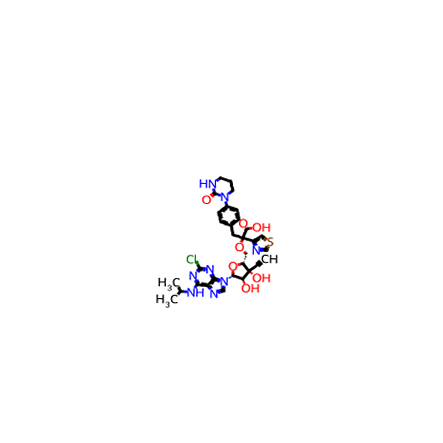 C#C[C@@]1(O)[C@@H](COC(Cc2ccc(N3CCCNC3=O)cc2)(C(=O)O)c2cscn2)O[C@@H](n2cnc3c(NC(C)C)nc(Cl)nc32)[C@@H]1O